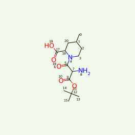 CC1CCN(C(=O)C(N)C(=O)OC(C)(C)C)C(C(=O)O)C1